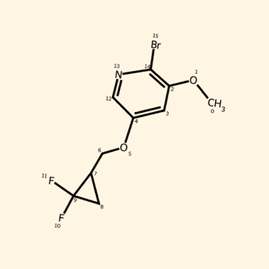 COc1cc(OCC2CC2(F)F)cnc1Br